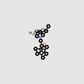 CC1(C)c2cc(-c3ccccc3)ccc2-c2ccc(N(c3ccc(-c4ccc5c6c4oc4cccc(c46)C4CC67CC(CC89CC(CC5(C4)C86)c4ccccc4-c4ccccc49)c4ccccc4-c4ccccc47)cc3)c3cccc4c3-c3ccccc3C4(C)C)cc21